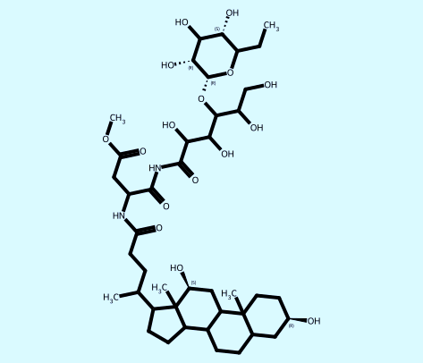 CCC1O[C@H](OC(C(O)CO)C(O)C(O)C(=O)NC(=O)C(CC(=O)OC)NC(=O)CCC(C)C2CCC3C4CCC5C[C@H](O)CCC5(C)C4C[C@H](O)C23C)[C@H](O)C(O)[C@@H]1O